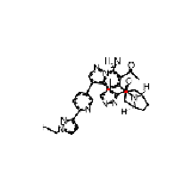 CC(=O)c1c(C2C[C@H]3CC[C@@H](C2)N3C(=O)c2nnc[nH]2)nc2c(-c3ccc(-c4ccn(CF)n4)nc3)cnn2c1N